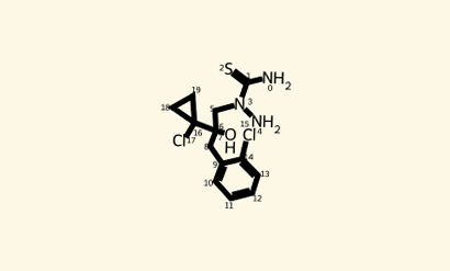 NC(=S)N(N)CC(O)(Cc1ccccc1Cl)C1(Cl)CC1